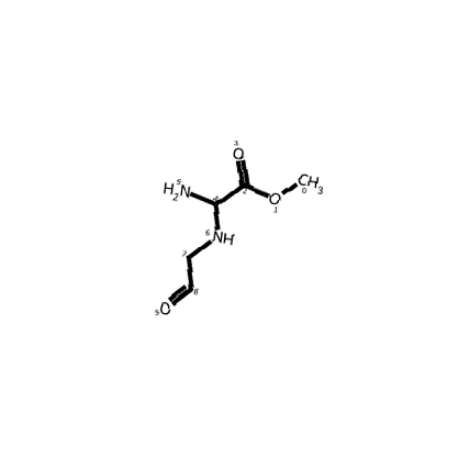 COC(=O)C(N)NCC=O